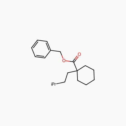 CC(C)CCC1(C(=O)OCc2ccccc2)CCCCC1